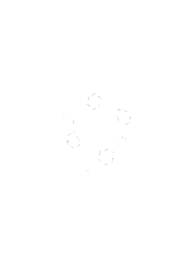 COc1cc(Cl)c2cc1Oc1ccc(cc1)C[C@H]1c3cc(c(C)cc3CCN1C)Oc1c(OC(C)=O)c(OC)c(Cl)c3c1[C@H](C2)N(C)CC3